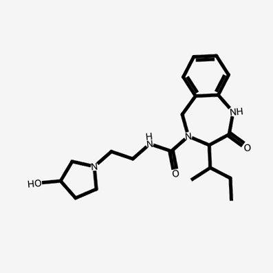 CCC(C)C1C(=O)Nc2ccccc2CN1C(=O)NCCN1CCC(O)C1